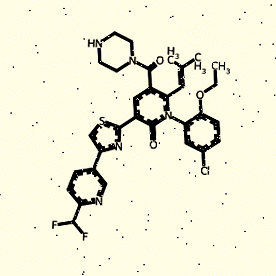 CCOc1ccc(Cl)cc1-n1c(C=C(C)C)c(C(=O)N2CCNCC2)cc(-c2nc(-c3ccc(C(F)F)nc3)cs2)c1=O